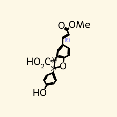 COC(=O)/C=C/c1ccc2c(c1)[C@H](C(=O)O)[C@@H](c1ccc(O)cc1)O2